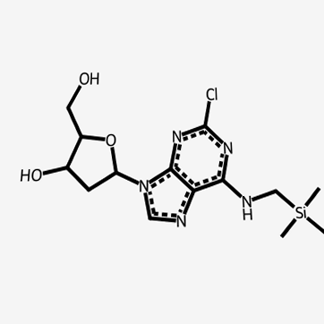 C[Si](C)(C)CNc1nc(Cl)nc2c1ncn2C1CC(O)C(CO)O1